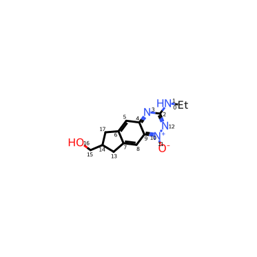 CCNc1nc2cc3c(cc2[n+]([O-])n1)CC(CO)C3